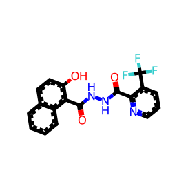 O=C(NNC(=O)c1c(O)ccc2ccccc12)c1ncccc1C(F)(F)F